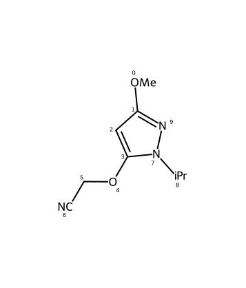 COc1cc(OCC#N)n(C(C)C)n1